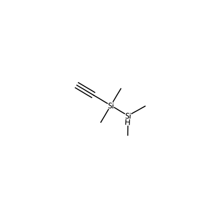 C#C[Si](C)(C)[SiH](C)C